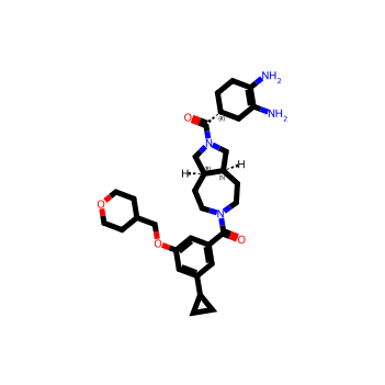 NC1=C(N)C[C@H](C(=O)N2C[C@H]3CCN(C(=O)c4cc(OCC5CCOCC5)cc(C5CC5)c4)CC[C@H]3C2)CC1